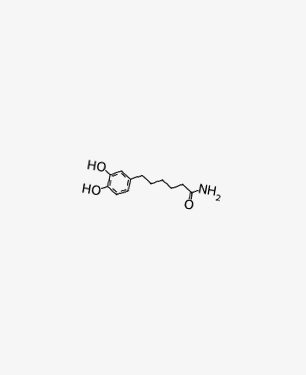 NC(=O)CCCCCc1ccc(O)c(O)c1